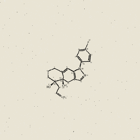 C=CC[C@]1(O)CCCC2=Cc3c(cnn3-c3ccc(F)cc3)C[C@@]21C